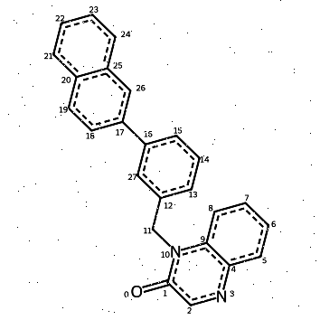 O=c1cnc2ccccc2n1Cc1cccc(-c2ccc3ccccc3c2)c1